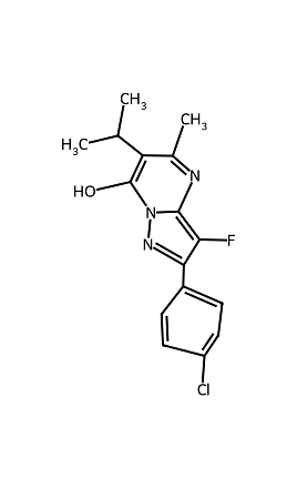 Cc1nc2c(F)c(-c3ccc(Cl)cc3)nn2c(O)c1C(C)C